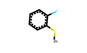 CC(C)Sc1cc[c]cc1F